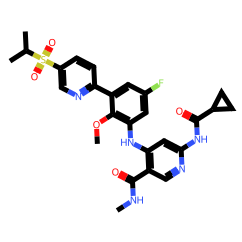 CNC(=O)c1cnc(NC(=O)C2CC2)cc1Nc1cc(F)cc(-c2ccc(S(=O)(=O)C(C)C)cn2)c1OC